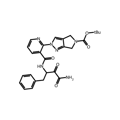 CC(C)(C)OC(=O)N1Cc2cn(-c3ncccc3C(=O)NC(Cc3ccccc3)C(=O)C(N)=O)nc2C1